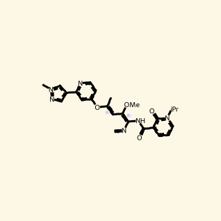 C=N/C(NC(=O)c1cccn(C(C)C)c1=O)=C(\C=C(/C)Oc1ccnc(-c2cnn(C)c2)c1)OC